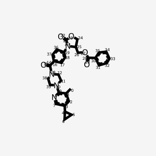 Cc1cc(C2CC2)cnc1N1CCN(C(=O)c2ccc(N3C(=O)OCC3COC(=O)c3ccccc3)cc2)CC1